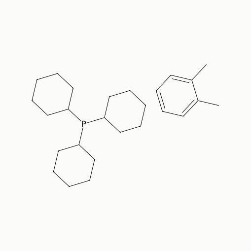 C1CCC(P(C2CCCCC2)C2CCCCC2)CC1.Cc1ccccc1C